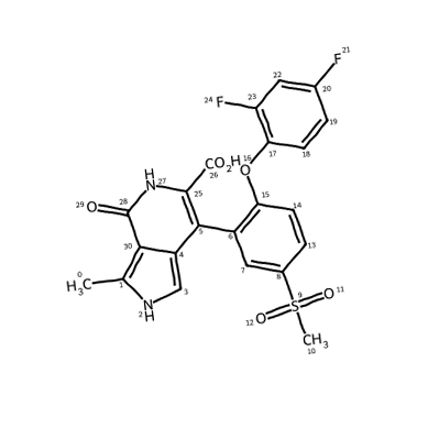 Cc1[nH]cc2c(-c3cc(S(C)(=O)=O)ccc3Oc3ccc(F)cc3F)c(C(=O)O)[nH]c(=O)c12